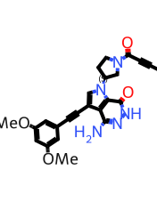 CC#CC(=O)N1CC[C@H](n2cc(C#Cc3cc(OC)cc(OC)c3)c3c(N)n[nH]c(=O)c32)C1